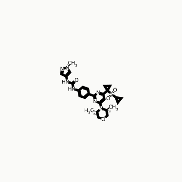 C[C@H]1COC[C@H](C)N1c1cc(C2(S(=O)(=O)C3CC3)CC2)nc(-c2ccc(NC(=O)Nc3cnn(C)c3)cc2)n1